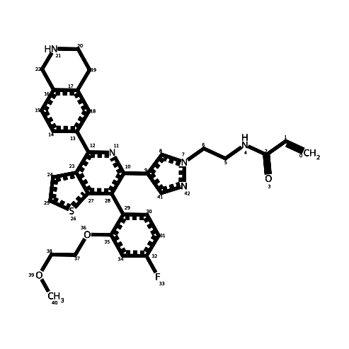 C=CC(=O)NCCn1cc(-c2nc(-c3ccc4c(c3)CCNC4)c3ccsc3c2-c2ccc(F)cc2OCCOC)cn1